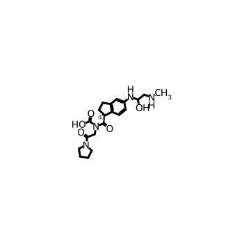 CNCC(O)Nc1ccc2c(c1)CC[C@@H]2C(=O)N(CC(=O)N1CCCC1)C(=O)O